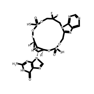 Nc1nc2c(ncn2[C@@H]2O[C@@H]3COP(=O)(S)OCC(F)(F)Cn4c(nc5cncnc54)COP(=O)(S)O[C@@H]2[C@@H]3F)c(=O)[nH]1